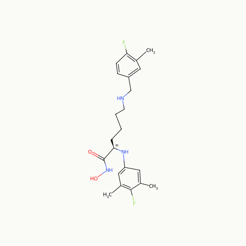 Cc1cc(CNCCCC[C@@H](Nc2cc(C)c(F)c(C)c2)C(=O)NO)ccc1F